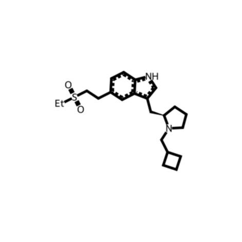 CCS(=O)(=O)CCc1ccc2[nH]cc(C[C@H]3CCCN3CC3CCC3)c2c1